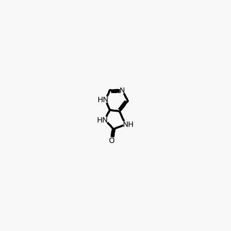 O=C1NC2=CN=CNC2N1